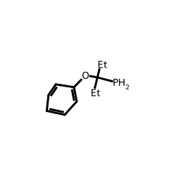 CCC(P)(CC)Oc1ccccc1